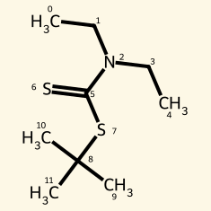 CCN(CC)C(=S)SC(C)(C)C